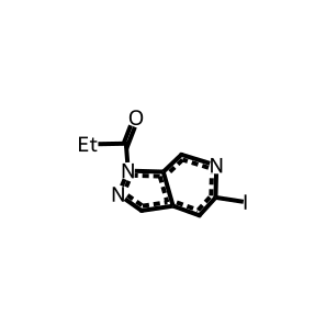 CCC(=O)n1ncc2cc(I)ncc21